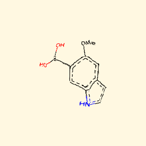 COc1cc2cc[nH]c2cc1B(O)O